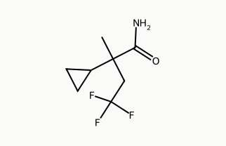 CC(CC(F)(F)F)(C(N)=O)C1CC1